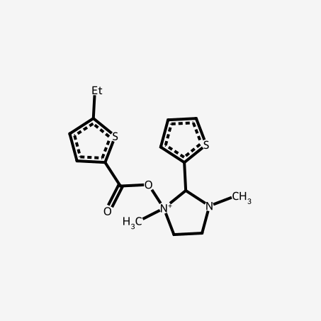 CCc1ccc(C(=O)O[N+]2(C)CCN(C)C2c2cccs2)s1